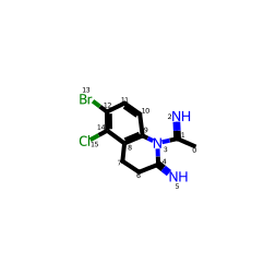 CC(=N)N1C(=N)CCc2c1ccc(Br)c2Cl